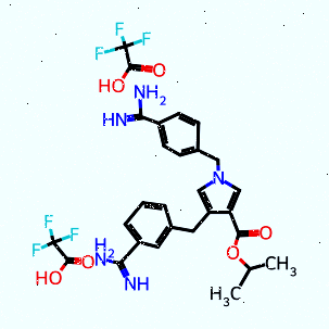 CC(C)OC(=O)c1cn(Cc2ccc(C(=N)N)cc2)cc1Cc1cccc(C(=N)N)c1.O=C(O)C(F)(F)F.O=C(O)C(F)(F)F